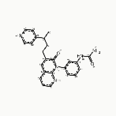 CC(CCc1cc2cccnc2n(-c2cccc(NC(N)=O)c2)c1=O)c1ccncc1